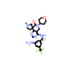 C[C@@H](Nc1ncnc2c1CN(C1CCOCC1)C(=O)C21CCN(C)C1)c1cc(N)cc(C(F)(F)F)c1